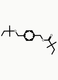 CCC(C)(C)OCc1ccc(COC(=O)C(C)(C)CC)cc1